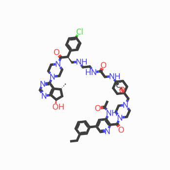 CCc1cccc(-c2cnc(C(=O)N3CCN(CC45CCC(NCC(=O)NCCNC[C@@H](C(=O)N6CCN(c7ncnc8c7[C@H](C)C[C@H]8O)CC6)c6ccc(Cl)cc6)(CC4)CO5)CC3)c(NC(C)=O)c2)c1